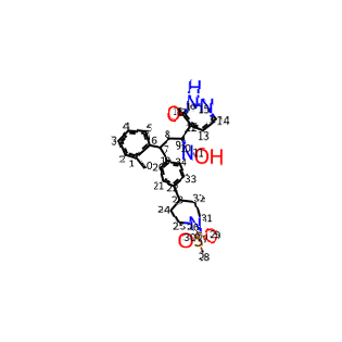 Cc1ccccc1C(CC(=NO)c1ccn[nH]c1=O)c1ccc(C2CCN(S(C)(=O)=O)CC2)cc1